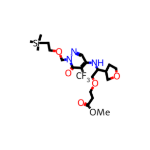 COC(=O)CCOCC(Nc1cnn(COCC[Si](C)(C)C)c(=O)c1C(F)(F)F)C1CCOC1